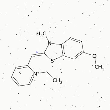 CC[n+]1ccccc1/C=C1\Sc2cc(OC)ccc2N1C